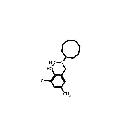 Cc1cc(Cl)c(O)c(CN(C)C2CCCCCCC2)c1